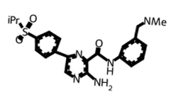 CNCc1cccc(NC(=O)c2nc(-c3ccc(S(=O)(=O)C(C)C)cc3)cnc2N)c1